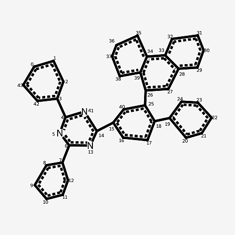 c1ccc(-c2nc(-c3ccccc3)nc(-c3ccc(-c4ccccc4)c(-c4cc5ccccc5c5ccccc45)c3)n2)cc1